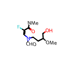 CNC(=O)/C(F)=C\N(C=O)CCC(CO)OC